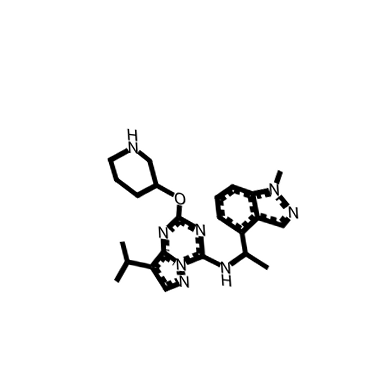 CC(C)c1cnn2c(NC(C)c3cccc4c3cnn4C)nc(OC3CCCNC3)nc12